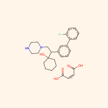 O=C(O)/C=C\C(=O)O.OC1(C(CN2CCNCC2)c2cccc(-c3ccccc3F)c2)CCCCC1